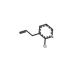 C=CCc1cccnc1Cl